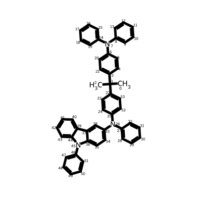 CC(C)(c1ccc(N(c2ccccc2)c2ccccc2)cc1)c1ccc(N(c2ccccc2)c2ccc3c(c2)c2ccccc2n3-c2ccccc2)cc1